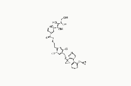 CCN(CC(O)C(O)C(O)C(O)CO)C(=O)CCCCc1cc(Cl)c(COC2(c3cnccc3-c3ccccc3OC3CC3)CC2)cc1Cl